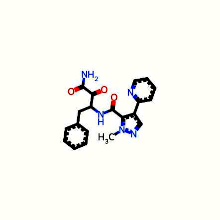 Cn1ncc(-c2ccccn2)c1C(=O)NC(Cc1ccccc1)C(=O)C(N)=O